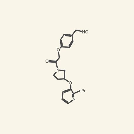 CCCc1ncccc1OC1CCN(C(=O)COc2ccc(CN=O)cc2)C1